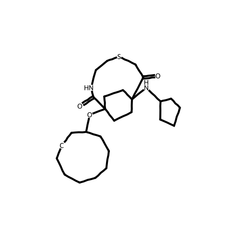 O=C1CSCCNC(=O)C2(OC3CCCCCCCCC3)CCC1(NC1CCCC1)CC2